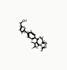 Cc1sc2c(c1C)C(c1ccc(-c3ccc(CO)s3)cc1)=NCc1nnc(C)n1-2